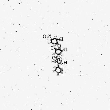 N=C(NS(=O)(=O)c1cc(Cl)c(Oc2ccc([N+](=O)[O-])cc2Cl)c(Cl)c1)c1ccccn1